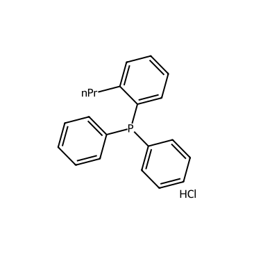 CCCc1ccccc1P(c1ccccc1)c1ccccc1.Cl